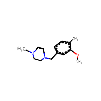 COc1cc(CN2CCN(C)CC2)ccc1C